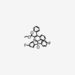 CCOC(=O)c1nc(P(=O)(c2ccc(F)cc2)c2ccc(F)cc2)c2ccccc2c1-c1ccccc1